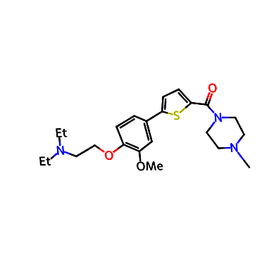 CCN(CC)CCOc1ccc(-c2ccc(C(=O)N3CCN(C)CC3)s2)cc1OC